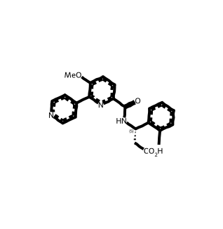 COc1ccc(C(=O)N[C@@H](CC(=O)O)c2ccccc2C)nc1-c1ccncc1